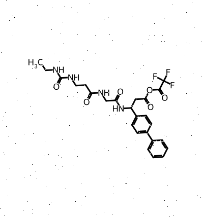 CCNC(=O)NCCC(=O)NCC(=O)NC(CC(=O)OC(=O)C(F)(F)F)c1ccc(-c2ccccc2)cc1